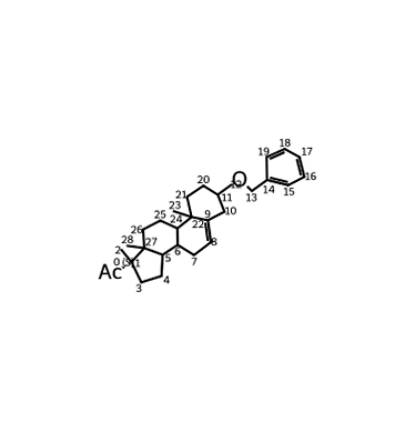 CC(=O)[C@@]1(C)CCC2C3CC=C4CC(OCc5ccccc5)CCC4(C)C3CCC21C